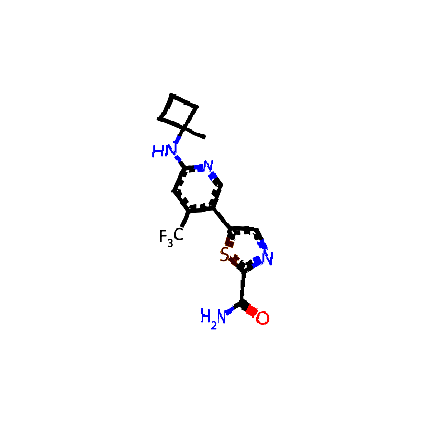 CC1(Nc2cc(C(F)(F)F)c(-c3cnc(C(N)=O)s3)cn2)CCC1